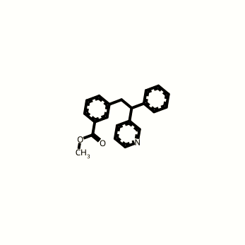 COC(=O)c1cccc(CC(c2ccccc2)c2cccnc2)c1